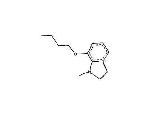 CCCCOc1cccc2c1N(C)CC2